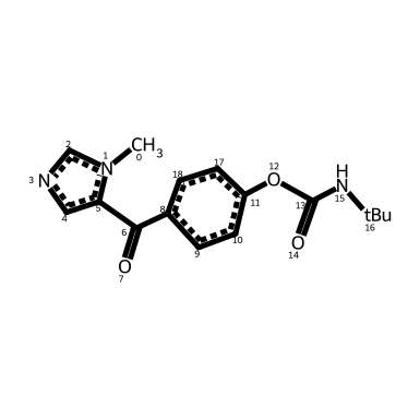 Cn1cncc1C(=O)c1ccc(OC(=O)NC(C)(C)C)cc1